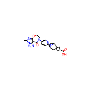 Cc1nc(N)c2c(n1)OCCN(c1ccc(N3C4CCC3CC3(CC(C(=O)O)C3)C4)nc1)C2=O